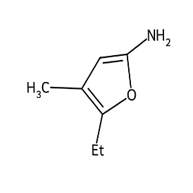 CCc1oc(N)cc1C